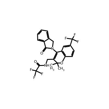 CC1(C)Oc2ccc(C(F)(F)F)cc2C(N2Cc3ccccc3C2=O)=C1CNC(=O)C(F)(F)F